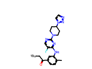 Cc1ccc(C(=O)CC(C)(C)C)cc1Nc1nc(N2CCC(n3ccnn3)CC2)ncc1F